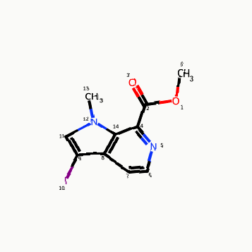 COC(=O)c1nccc2c(I)cn(C)c12